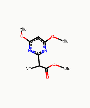 CC(C)(C)OC(=O)C(C#N)c1nc(OC(C)(C)C)cc(OC(C)(C)C)n1